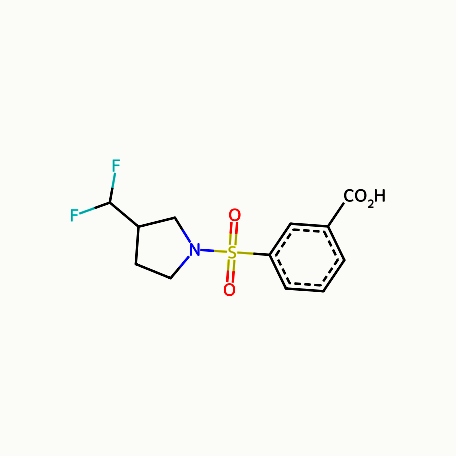 O=C(O)c1cccc(S(=O)(=O)N2CCC(C(F)F)C2)c1